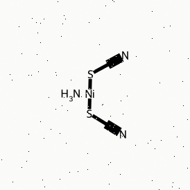 N.N#C[S][Ni][S]C#N